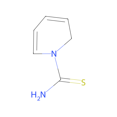 NC(=S)N1C=CC=CC1